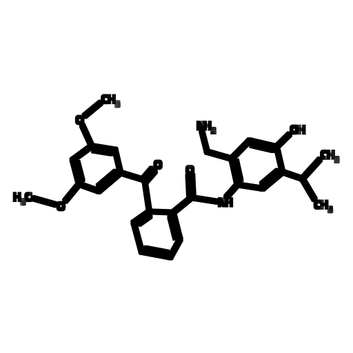 COc1cc(OC)cc(C(=O)c2ccccc2C(=O)Nc2cc(C(C)C)c(O)cc2CN)c1